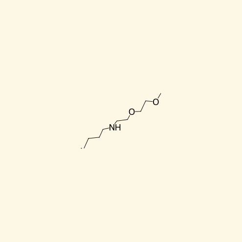 [CH2]CCCNCCOCCOC